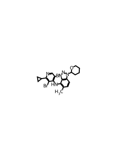 Cc1ccc2c(nnn2C2CCCCO2)c1Nc1c(Br)cnc(C2CC2)c1Br